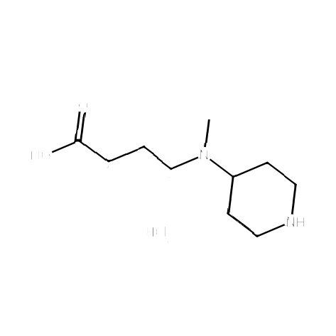 CN(CCCC(=O)O)C1CCNCC1.Cl